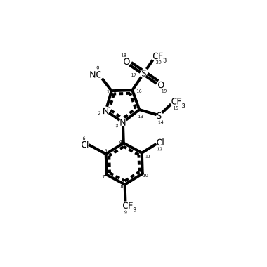 N#Cc1nn(-c2c(Cl)cc(C(F)(F)F)cc2Cl)c(SC(F)(F)F)c1S(=O)(=O)C(F)(F)F